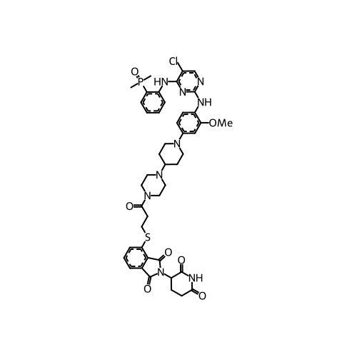 COc1cc(N2CCC(N3CCN(C(=O)CCSc4cccc5c4C(=O)N(C4CCC(=O)NC4=O)C5=O)CC3)CC2)ccc1Nc1ncc(Cl)c(Nc2ccccc2P(C)(C)=O)n1